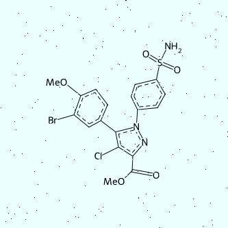 COC(=O)c1nn(-c2ccc(S(N)(=O)=O)cc2)c(-c2ccc(OC)c(Br)c2)c1Cl